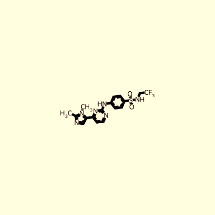 Cc1ncc(-c2ccnc(Nc3ccc(S(=O)(=O)NCC(F)(F)F)cc3)n2)n1C